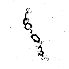 Cc1cc(CC(=O)N[C@H]2CC[C@H](CCN3CCc4ccc(CCC(F)(F)F)nc4CC3)CC2)on1